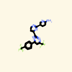 Nc1ccc(-c2nccc(-c3nc(-c4ccc(C(F)(F)F)cc4)cc(C(F)(F)F)n3)n2)cn1